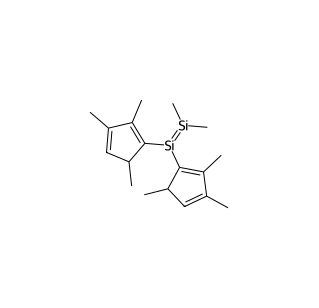 CC1=CC(C)C([Si](C2=C(C)C(C)=CC2C)=[Si](C)C)=C1C